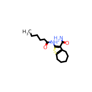 CCCCCC(=O)Nc1sc2c(c1C(N)=O)CCCCC2